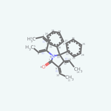 C/C=C\C(=C/C)N1C(=O)C(=C/C)/C(=C\C)C1(c1ccccc1)c1ccccc1